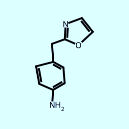 Nc1ccc(Cc2ncco2)cc1